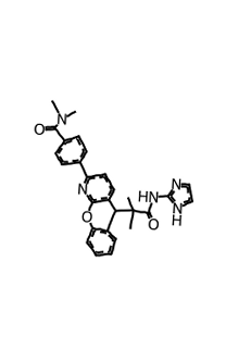 CN(C)C(=O)c1ccc(-c2ccc3c(n2)Oc2ccccc2C3C(C)(C)C(=O)Nc2ncc[nH]2)cc1